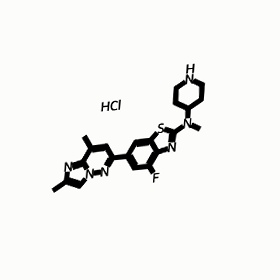 Cc1cn2nc(-c3cc(F)c4nc(N(C)C5CCNCC5)sc4c3)cc(C)c2n1.Cl